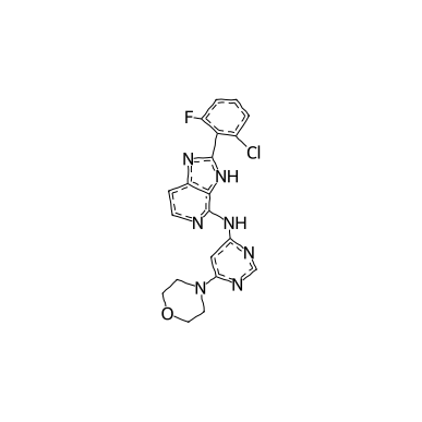 Fc1cccc(Cl)c1-c1nc2ccnc(Nc3cc(N4CCOCC4)ncn3)c2[nH]1